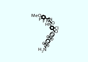 COc1ccc(-c2cnc(C(=O)Nc3ccc(C(=O)N4CCN(S(=O)(=O)C5CCN(S(=O)(=O)CCN)CC5)CC4)c(Cl)c3)n2C)c(F)c1F